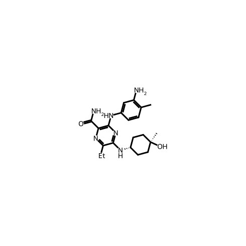 CCc1nc(C(N)=O)c(Nc2ccc(C)c(N)c2)nc1N[C@H]1CC[C@](C)(O)CC1